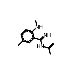 C=C(C)NC(=N)c1cc(C)ccc1NC